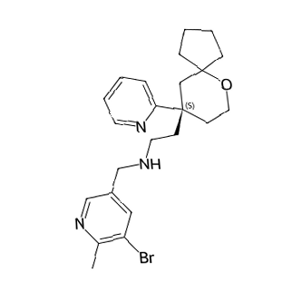 Cc1ncc(CNCC[C@]2(c3ccccn3)CCOC3(CCCC3)C2)cc1Br